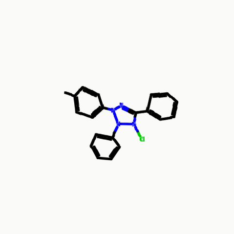 Cc1ccc(N2N=C(c3ccccc3)N(Cl)N2c2ccccc2)cc1